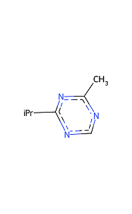 Cc1ncnc(C(C)C)n1